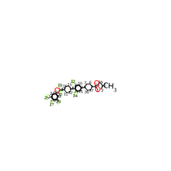 CC1COC(C2CCC(c3cc(F)c(C4CCC(C(F)(F)Oc5cc(F)c(F)c(F)c5)CC4)c(F)c3)CC2)OC1